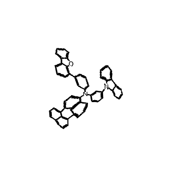 c1ccc(-c2cccc3cccc(-c4ccc(N(c5cccc(-c6cccc7c6oc6ccccc67)c5)c5cccc(-n6c7ccccc7c7ccccc76)c5)cc4)c23)cc1